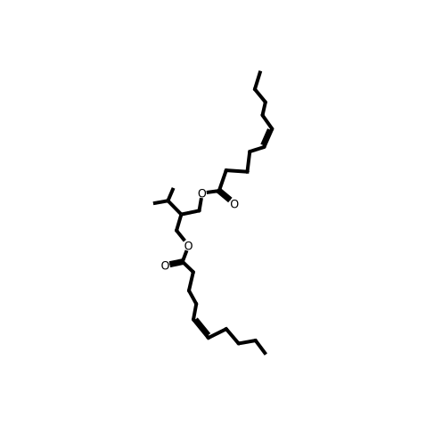 CCCC/C=C\CCCC(=O)OCC(COC(=O)CCC/C=C\CCCC)C(C)C